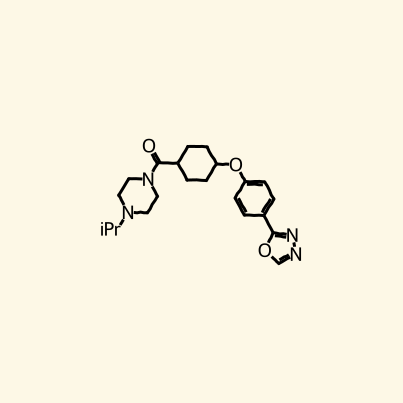 CC(C)N1CCN(C(=O)C2CCC(Oc3ccc(-c4nnco4)cc3)CC2)CC1